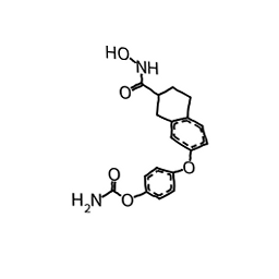 NC(=O)Oc1ccc(Oc2ccc3c(c2)CC(C(=O)NO)CC3)cc1